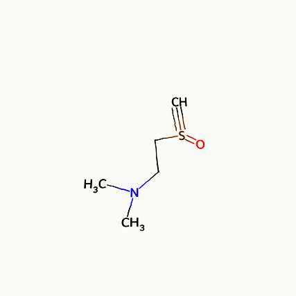 C#S(=O)CCN(C)C